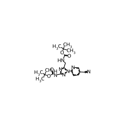 CC(C)(C)OC(=O)NCc1nc(NC(=O)OC(C)(C)C)nn1-c1ccc(C#N)cn1